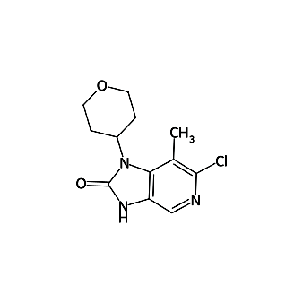 Cc1c(Cl)ncc2[nH]c(=O)n(C3CCOCC3)c12